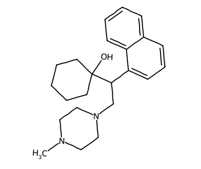 CN1CCN(CC(c2cccc3ccccc23)C2(O)CCCCC2)CC1